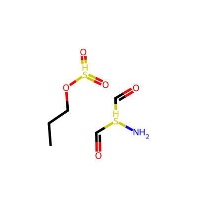 CCCO[SH](=O)=O.N[SH](C=O)C=O